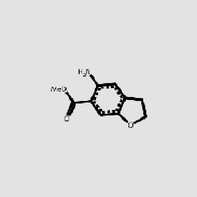 COC(=O)c1cc2c(cc1N)CCO2